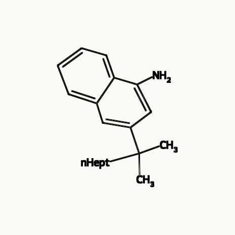 CCCCCCCC(C)(C)c1cc(N)c2ccccc2c1